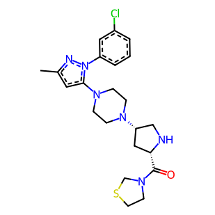 Cc1cc(N2CCN([C@@H]3CN[C@H](C(=O)N4CCSC4)C3)CC2)n(-c2cccc(Cl)c2)n1